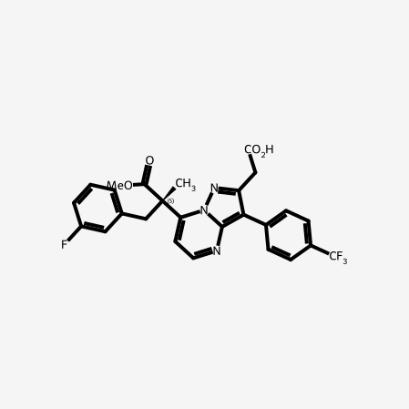 COC(=O)[C@@](C)(Cc1cccc(F)c1)c1ccnc2c(-c3ccc(C(F)(F)F)cc3)c(CC(=O)O)nn12